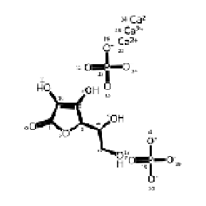 O=C1O[C@H]([C@@H](O)CO)C(O)=C1O.O=P([O-])([O-])[O-].O=P([O-])([O-])[O-].[Ca+2].[Ca+2].[Ca+2]